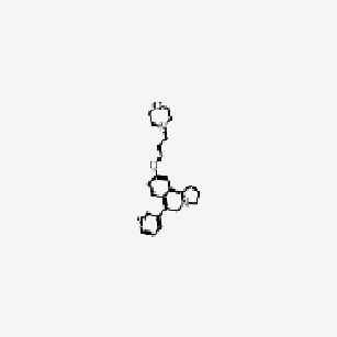 c1cncc(C2=c3ccc(OCCCN4CCOCC4)cc3=C3CCCN3C2)c1